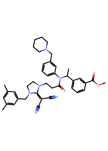 COC(=O)c1cccc(C(C)N(C(=O)CCN2CCN(Cc3cc(C)cc(C)c3)C2=C(C#N)C#N)c2cccc(CN3CCCCC3)c2)c1